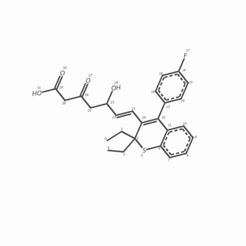 CCC1(CC)Sc2ccccc2C(c2ccc(F)cc2)=C1C=CC(O)CC(=O)CC(=O)O